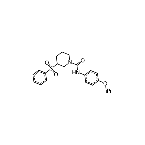 CC(C)Oc1ccc(NC(=O)N2CCCC(S(=O)(=O)c3ccccc3)C2)cc1